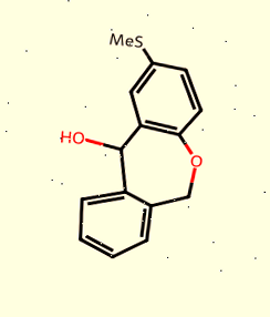 CSc1ccc2c(c1)C(O)c1ccccc1CO2